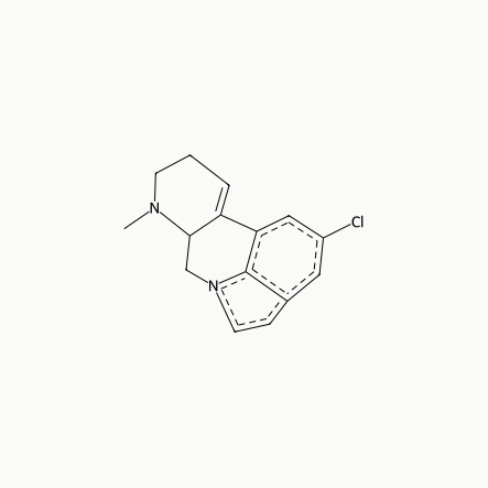 CN1CCC=C2c3cc(Cl)cc4ccn(c34)CC21